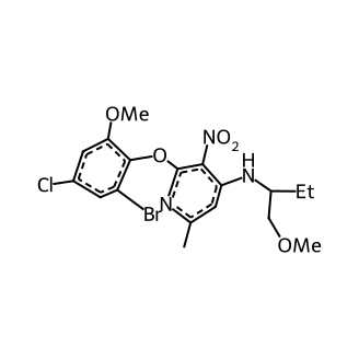 CCC(COC)Nc1cc(C)nc(Oc2c(Br)cc(Cl)cc2OC)c1[N+](=O)[O-]